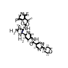 C[C@@H](OC(=O)N/C(=C(/N)c1ccc(NC(=O)c2cnc(N3CCOCC3)nc2)cn1)N(C)N)c1cc(F)cnc1F